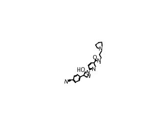 CN(CCCN1CCCCC1)C(=O)c1ccc(-n2ncc(-c3ccc(C#N)cc3)c2O)nc1